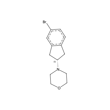 Brc1ccc2c(c1)C[C@@H](N1CCOCC1)C2